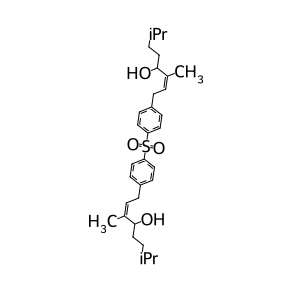 CC(=CCc1ccc(S(=O)(=O)c2ccc(CC=C(C)C(O)CCC(C)C)cc2)cc1)C(O)CCC(C)C